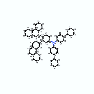 c1ccc(-c2ccc(N(c3ccc(-c4ccccc4)cc3)c3ccc(-c4cc5ccccc5c5ccccc45)c(-c4ccc5ccc6ccccc6c5c4)c3)cc2)cc1